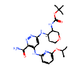 CC(C)Oc1cccc(Nc2cc(N[C@@H]3CCOCC3NC(=O)OC(C)(C)C)nnc2C(N)=O)n1